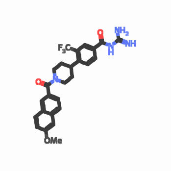 COc1ccc2cc(C(=O)N3CCC(c4ccc(C(=O)NC(=N)N)cc4C(F)(F)F)CC3)ccc2c1